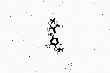 COc1cc(NC=C2C(=O)OC(C)(C)OC2=O)ccc1OC(F)(F)F